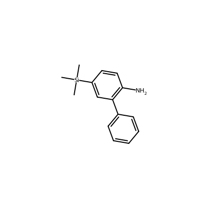 C[Si](C)(C)c1ccc(N)c(-c2ccccc2)c1